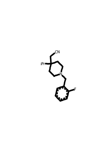 CC(C)C1(CC#N)CCN(Cc2ccccc2F)CC1